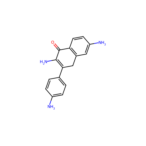 NC1=C(c2ccc(N)cc2)Cc2cc(N)ccc2C1=O